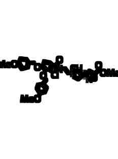 COC(=O)c1cc([C@@H]2CC[N+](C)(CCNC(=O)c3ccc(OCc4ccc(OC)cc4)c(OCc4ccc(OC)cc4)c3Cl)C2)no1